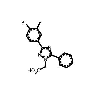 Cc1cc(-c2nc(-c3ccccc3)n(CC(=O)O)n2)ccc1Br